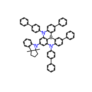 CC12CCCC1(C)N(c1cc3c4c(c1)N(c1ccc(-c5ccccc5)cc1)c1ccc(-c5ccccc5)cc1B4c1cc(-c4ccccc4)ccc1N3c1ccc(-c3ccccc3)cc1)c1ccccc12